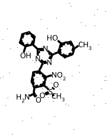 Cc1ccc(-c2nc(-c3ccccc3O)nc(-c3ccc(C(N)=O)c(S(C)(=O)=O)c3[N+](=O)[O-])n2)c(O)c1